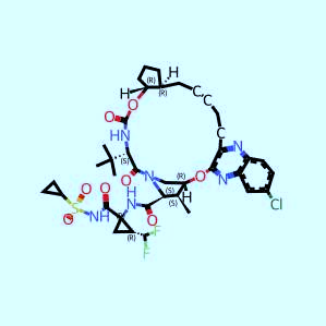 C[C@@H]1[C@@H]2CN(C(=O)[C@H](C(C)(C)C)NC(=O)O[C@@H]3CCC[C@H]3CCCCCc3nc4ccc(Cl)cc4nc3O2)[C@@H]1C(=O)N[C@]1(C(=O)NS(=O)(=O)C2CC2)C[C@H]1C(F)F